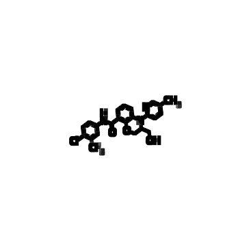 Cc1ccc(N2c3cccc(C(=O)Nc4ccc(Cl)c(C(F)(F)F)c4)c3OCC2CO)nc1